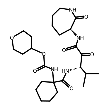 CC(C)[C@H](NC(=O)C1(NC(=O)OC2CCOCC2)CCCCC1)C(=O)C(=O)N[C@H]1CCCCNC1=O